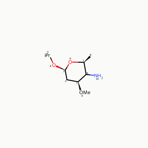 CO[C@H]1C[C@@H](OC(C)C)O[C@@H](C)C1N